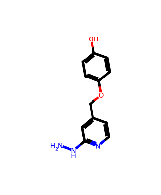 NNc1cc(COc2ccc(O)cc2)ccn1